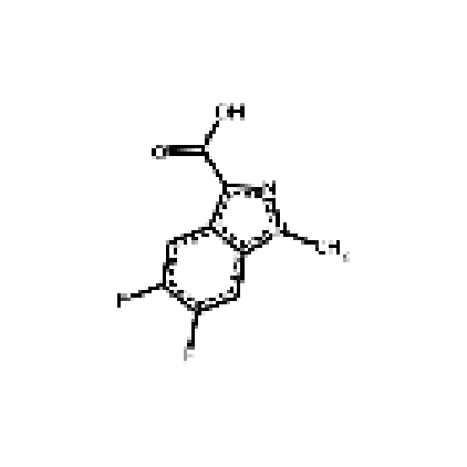 Cn1nc(C(=O)O)c2cc(F)c(F)cc21